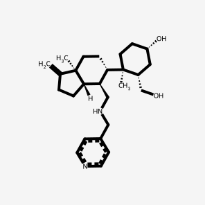 C=C1CC[C@H]2[C@H](CNCc3ccncc3)[C@@H]([C@@]3(C)CC[C@H](O)C[C@@H]3CO)CC[C@]12C